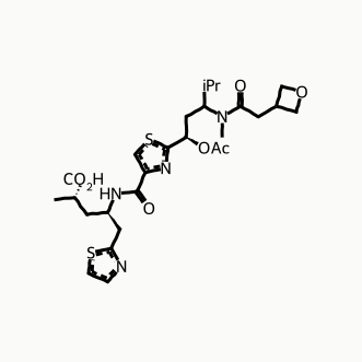 CC(=O)O[C@H](CC(C(C)C)N(C)C(=O)CC1COC1)c1nc(C(=O)N[C@@H](Cc2nccs2)C[C@H](C)C(=O)O)cs1